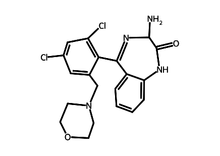 NC1N=C(c2c(Cl)cc(Cl)cc2CN2CCOCC2)c2ccccc2NC1=O